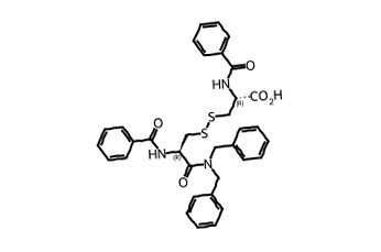 O=C(N[C@@H](CSSC[C@H](NC(=O)c1ccccc1)C(=O)N(Cc1ccccc1)Cc1ccccc1)C(=O)O)c1ccccc1